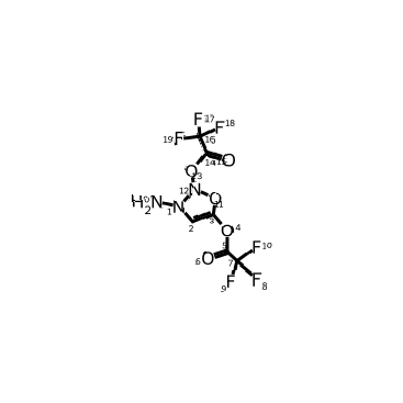 NN1C=C(OC(=O)C(F)(F)F)ON1OC(=O)C(F)(F)F